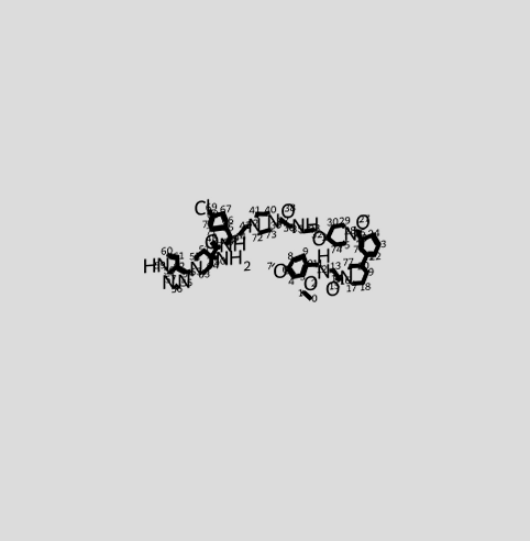 CCOc1cc(OC)ccc1CNCC(=O)N1CCCC(c2cccc(C(=O)N3CCC(OCCNCC(=O)N4CCN(CC[C@H](NC(=O)C5(N)CCN(c6ncnc7[nH]ccc67)CC5)c5ccc(Cl)cc5)CC4)CC3)c2)C1